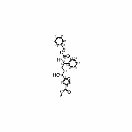 COC(=O)c1coc(C(O)CCC(NC(=O)OCc2ccccc2)c2ccccc2)n1